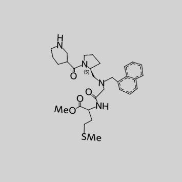 COC(=O)C(CCSC)NC(=O)CN(Cc1cccc2ccccc12)C[C@@H]1CCCN1C(=O)C1CCCNC1